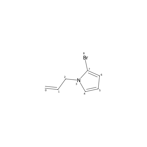 C=CCn1cccc1Br